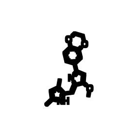 COC1=CC(c2ccc3c(c2)OCCO3)=NC1=Cc1[nH]c(C)cc1C